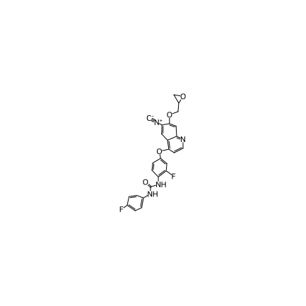 [C-]#[N+]c1cc2c(Oc3ccc(NC(=O)Nc4ccc(F)cc4)c(F)c3)ccnc2cc1OCC1CO1